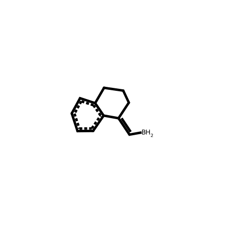 B/C=C1\CCCc2ccccc21